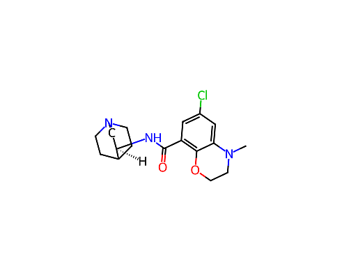 CN1CCOc2c(C(=O)N[C@@H]3CN4CCC3CC4)cc(Cl)cc21